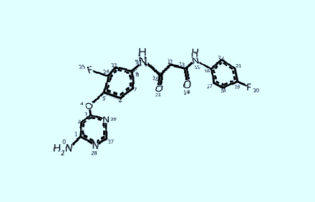 Nc1cc(Oc2ccc(NC(=O)CC(=O)Nc3ccc(F)cc3)cc2F)ncn1